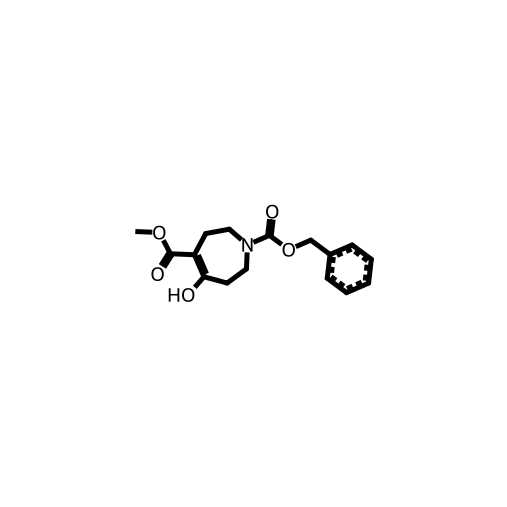 COC(=O)C1=C(O)CCN(C(=O)OCc2ccccc2)CC1